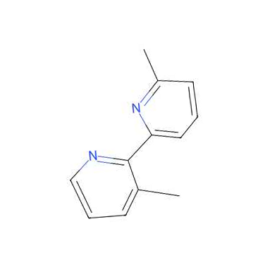 Cc1cccc(-c2ncccc2C)n1